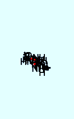 Cc1cccc(C(=O)NC[C@@H]2NC(=N)N3C[C@H](NC(=O)c4cccc5c4OCCC5(C)C)C(O)(O)[C@@]34NC(=N)N[C@@H]24)c1